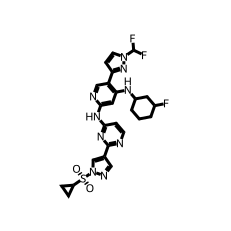 O=S(=O)(C1CC1)n1cc(-c2nccc(Nc3cc(NC4CCCC(F)C4)c(-c4ccn(C(F)F)n4)cn3)n2)cn1